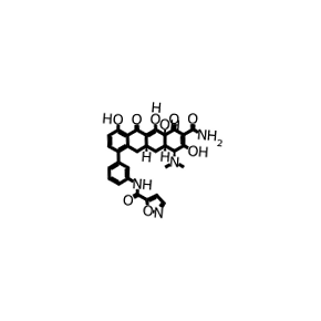 CN(C)[C@@H]1C(O)=C(C(N)=O)C(=O)[C@@]2(O)C(O)=C3C(=O)c4c(O)ccc(-c5cccc(NC(=O)c6ccno6)c5)c4C[C@H]3C[C@@H]12